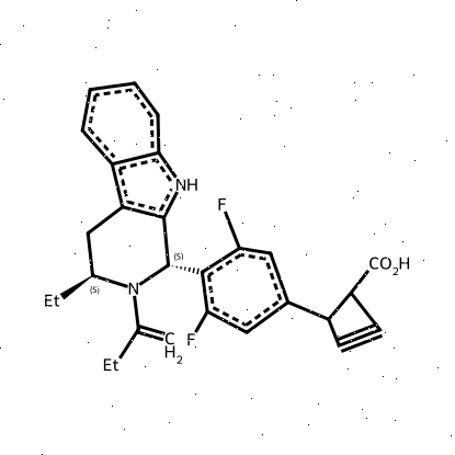 C=C(CC)N1[C@@H](CC)Cc2c([nH]c3ccccc23)[C@@H]1c1c(F)cc(C2C#CC2C(=O)O)cc1F